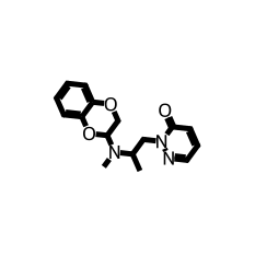 CC(Cn1ncccc1=O)N(C)C1COc2ccccc2O1